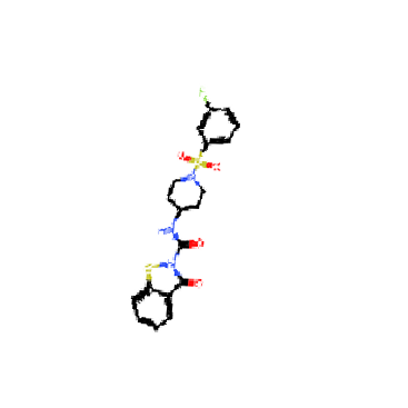 O=C(NC1CCN(S(=O)(=O)c2cccc(F)c2)CC1)n1sc2ccccc2c1=O